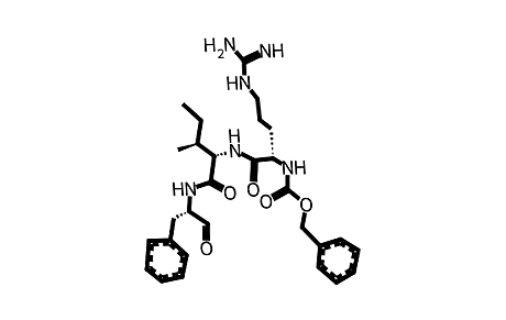 CC[C@H](C)[C@H](NC(=O)[C@H](CCCNC(=N)N)NC(=O)OCc1ccccc1)C(=O)N[C@H](C=O)Cc1ccccc1